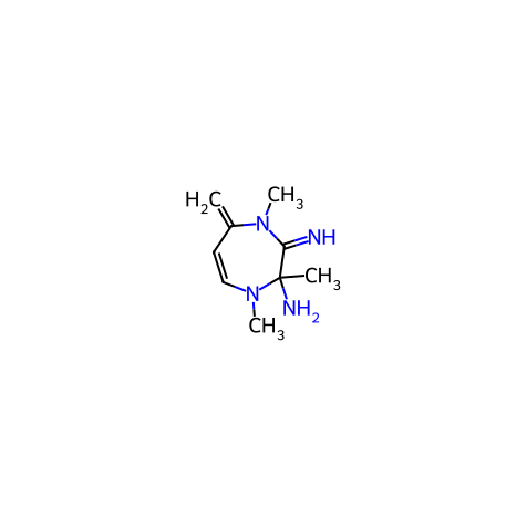 C=C1C=CN(C)C(C)(N)C(=N)N1C